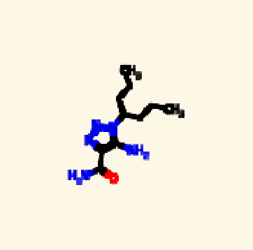 CCCC(CCC)n1nnc(C(N)=O)c1N